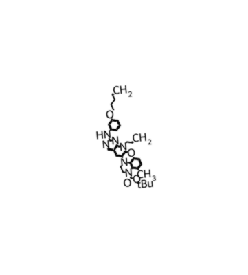 C=CCCCOc1cccc(Nc2ncc3cc(N4CCN(C(=O)OC(C)(C)C)c5c(C)cccc54)c(=O)n(CC=C)c3n2)c1